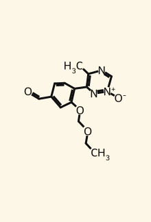 CCOCOc1cc(C=O)ccc1-c1n[n+]([O-])cnc1C